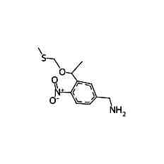 CSCOC(C)c1cc(CN)ccc1[N+](=O)[O-]